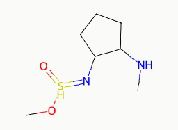 CNC1CCCC1N=[SH](=O)OC